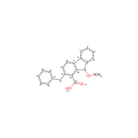 COC1c2ccccc2-c2ccc(Cc3ccccc3)c(C(=O)O)c21